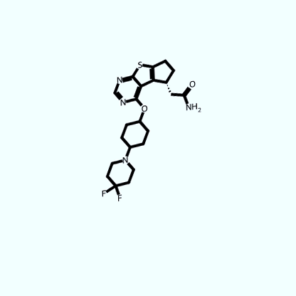 NC(=O)C[C@H]1CCc2sc3ncnc(OC4CCC(N5CCC(F)(F)CC5)CC4)c3c21